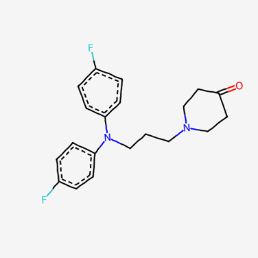 O=C1CCN(CCCN(c2ccc(F)cc2)c2ccc(F)cc2)CC1